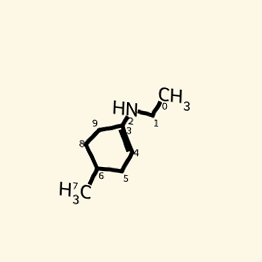 CCNC1=CCC(C)CC1